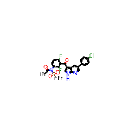 CCCS(=O)(=O)N(C(=O)C(C)C)c1ccc(F)c(C(=O)c2c[nH]c3ncc(-c4ccc(Cl)cc4)cc23)c1F